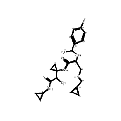 O=C(NC1(C(O)C(=O)NC2CC2)CC1)C(CSCC1CC1)NC(c1ccc(F)cc1)C(F)(F)F